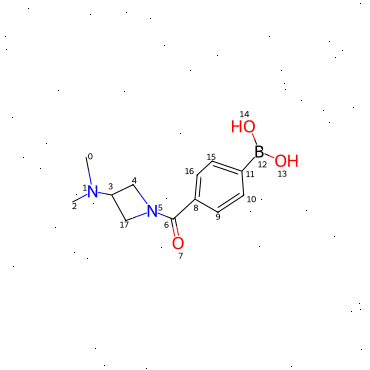 CN(C)C1CN(C(=O)c2ccc(B(O)O)cc2)C1